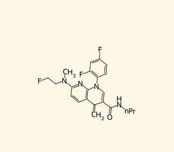 C=C1C(C(=O)NCCC)=CN(c2ccc(F)cc2F)c2nc(N(C)CCF)ccc21